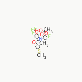 CCSc1ccc(C(=O)c2c(C)n(-c3ccc(F)c(O[C@@H](C)C(=O)O)c3)c3cc(OC(F)(F)F)ccc23)cc1